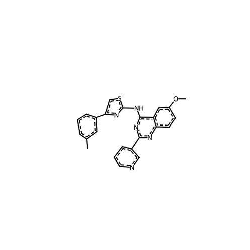 COc1ccc2nc(-c3cccnc3)nc(Nc3nc(-c4cccc(C)c4)cs3)c2c1